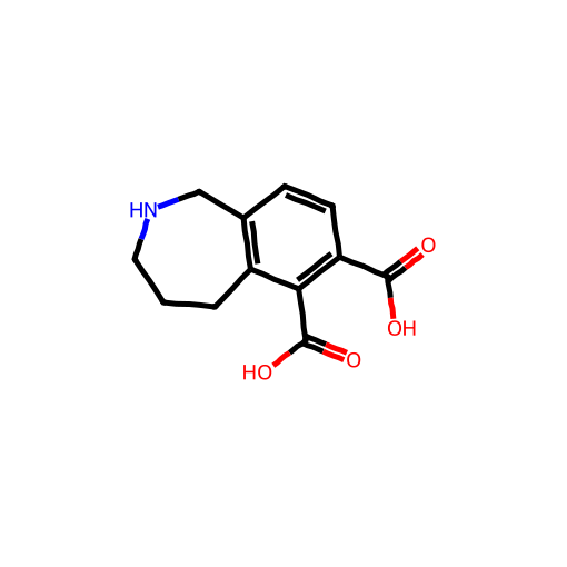 O=C(O)c1ccc2c(c1C(=O)O)CCCNC2